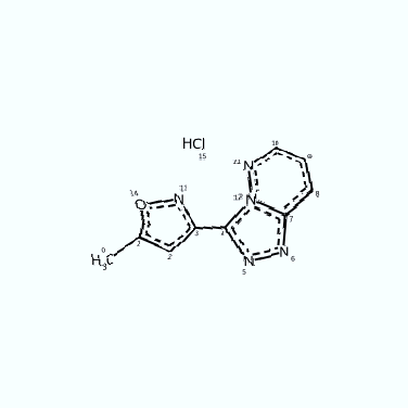 Cc1cc(-c2nnc3cccnn23)no1.Cl